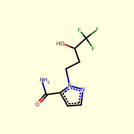 NC(=O)c1ccnn1CCC(O)C(F)(F)F